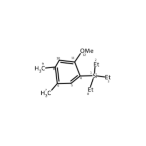 CC[Si](CC)(CC)c1cc(C)c(C)cc1OC